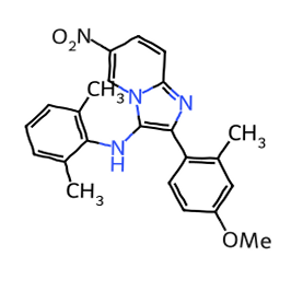 COc1ccc(-c2nc3ccc([N+](=O)[O-])cn3c2Nc2c(C)cccc2C)c(C)c1